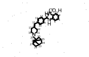 O=C(O)Nc1ccccc1NC(=O)c1ccc(C=C2CCN(CC34CC5CC(CC(C5)C3)C4)CC2)cc1